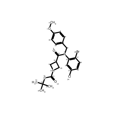 COc1ccc(CN(C(=O)C2CN(C(=O)OC(C)(C)C)C2)c2cc(Cl)ccc2Br)cc1